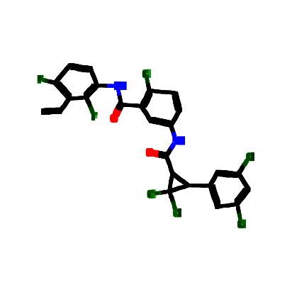 C=Cc1c(F)ccc(NC(=O)c2cc(NC(=O)C3C(c4cc(Cl)cc(Cl)c4)C3(Cl)Cl)ccc2Cl)c1F